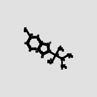 CN(C)C(C)(C)c1nc2cc(Br)ccc2s1